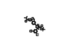 CC(C)C(=O)N1CC2(C1)OCc1cc(C3=NN(C(=O)OC(C)(C)C)C(C)(c4cc(Cl)cc(Cl)c4)C3)ccc12